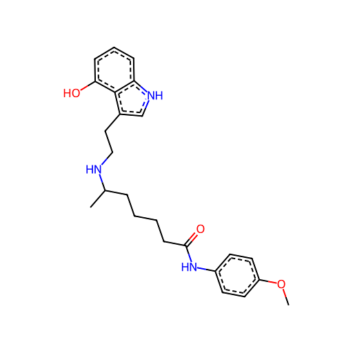 COc1ccc(NC(=O)CCCCC(C)NCCc2c[nH]c3cccc(O)c23)cc1